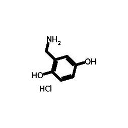 Cl.NCc1cc(O)ccc1O